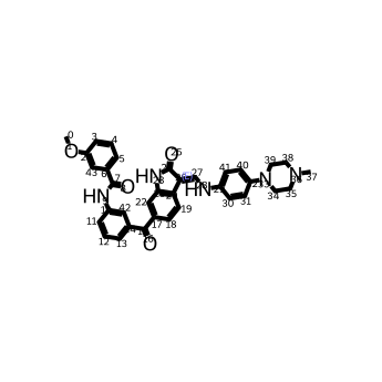 COc1cccc(C(=O)Nc2cccc(C(=O)c3ccc4c(c3)NC(=O)/C4=C/Nc3ccc(N4CCN(C)CC4)cc3)c2)c1